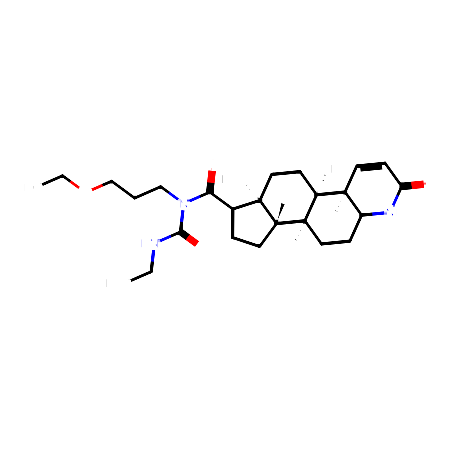 CCNC(=O)N(CCCOCC)C(=O)C1CC[C@H]2[C@@H]3CCC4NC(=O)C=C[C@]4(C)[C@@H]3CC[C@]12C